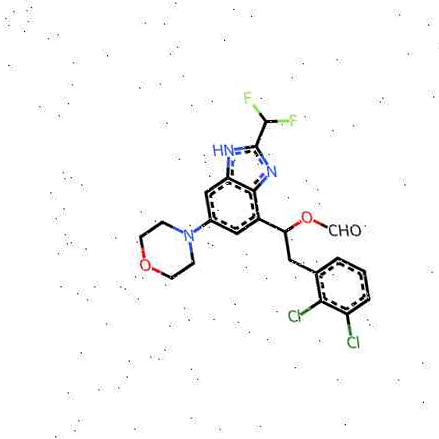 O=COC(Cc1cccc(Cl)c1Cl)c1cc(N2CCOCC2)cc2[nH]c(C(F)F)nc12